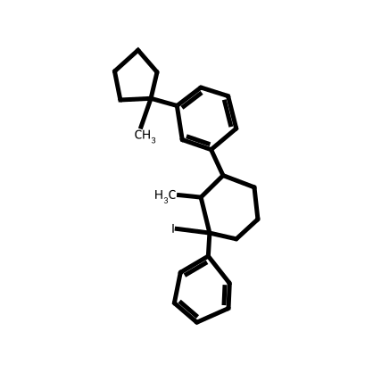 CC1C(c2cccc(C3(C)CCCC3)c2)CCCC1(I)c1ccccc1